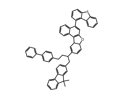 CC1(C)c2ccccc2-c2ccc(CC(CCc3ccc(-c4ccccc4)cc3)C3=CC4c5c(cc(-c6cccc7sc8ccccc8c67)c6ccccc56)OC4C=C3)cc21